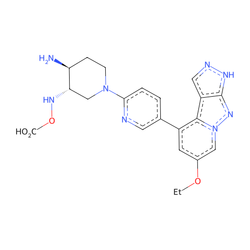 CCOc1cc(-c2ccc(N3CC[C@H](N)[C@@H](NOC(=O)O)C3)nc2)c2c3cn[nH]c3nn2c1